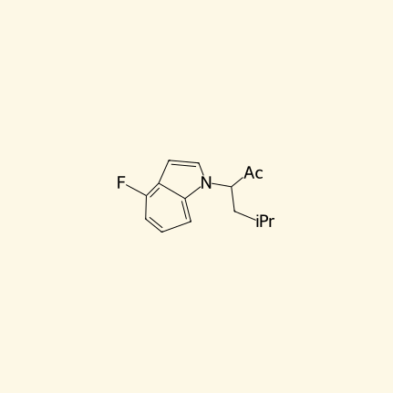 CC(=O)C(CC(C)C)n1ccc2c(F)cccc21